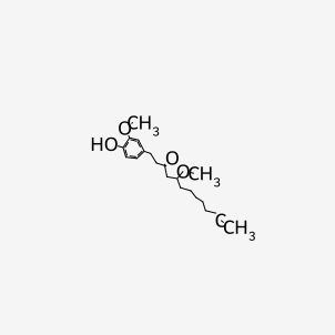 CCCCCCCCC(CC(=O)CCc1ccc(O)c(OC)c1)OC